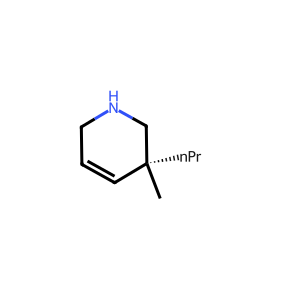 CCC[C@]1(C)C=CCNC1